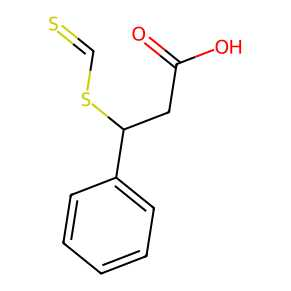 O=C(O)CC(SC=S)c1ccccc1